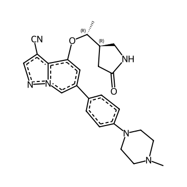 C[C@@H](Oc1cc(-c2ccc(N3CCN(C)CC3)cc2)cn2ncc(C#N)c12)[C@H]1CNC(=O)C1